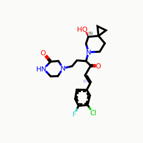 O=C1CN(CCC(C(=O)/C=C/c2ccc(F)c(Cl)c2)N2CCC3(CC3)[C@H](O)C2)CCN1